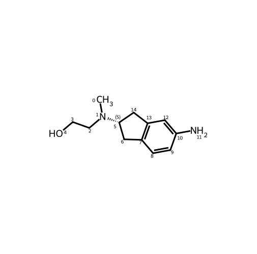 CN(CCO)[C@H]1Cc2ccc(N)cc2C1